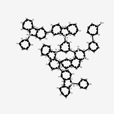 Fc1cccc(-c2cccc(-c3nc(-c4cc(-n5c6ccccc6c6ccc(-c7ccc8c(c7)c7ccccc7n8-c7ccccc7)cc65)cc(-n5c6ccccc6c6ccc(-c7ccc8c(c7)c7ccccc7n8-c7ccccc7)cc65)c4)c4c(ccc5ccccc54)n3)c2)c1